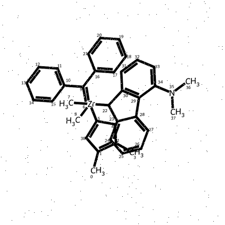 CC1=C(C)C[C]([Zr]([CH3])([CH3])(=[C](c2ccccc2)c2ccccc2)[CH]2c3ccccc3-c3c2cccc3N(C)C)=C1